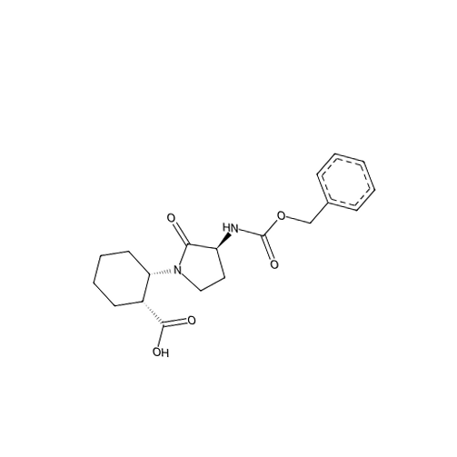 O=C(N[C@H]1CCN([C@H]2CCCC[C@H]2C(=O)O)C1=O)OCc1ccccc1